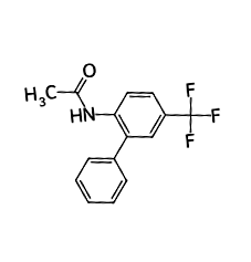 CC(=O)Nc1ccc(C(F)(F)F)cc1-c1ccccc1